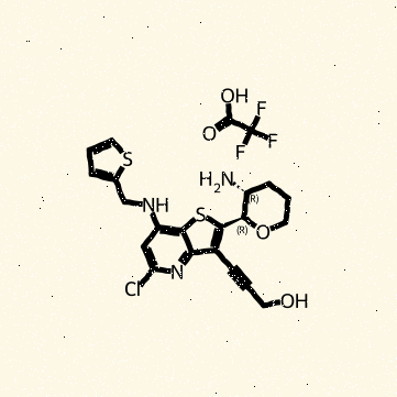 N[C@@H]1CCCO[C@H]1c1sc2c(NCc3cccs3)cc(Cl)nc2c1C#CCO.O=C(O)C(F)(F)F